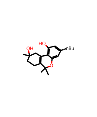 CCCCc1cc(O)c2c(c1)OC(C)(C)C1=C2CC(C)(O)CC1